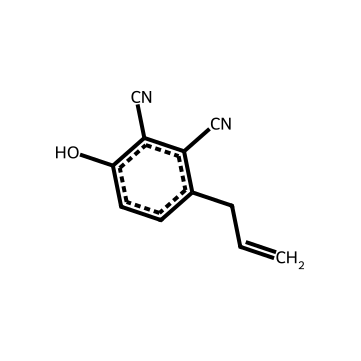 C=CCc1ccc(O)c(C#N)c1C#N